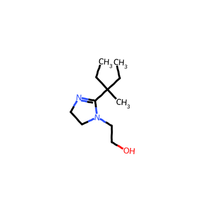 CCC(C)(CC)C1=NCCN1CCO